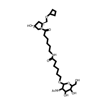 CC(=O)NC1C(OCCCCCC(=O)NCCCCCC(=O)N2C[C@H](O)C[C@H]2COC2CCC2)OC(CO)C(O)C1O